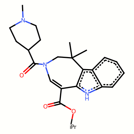 CC(C)OC(=O)C1=CN(C(=O)C2CCN(C)CC2)CC(C)(C)c2c1[nH]c1ccccc21